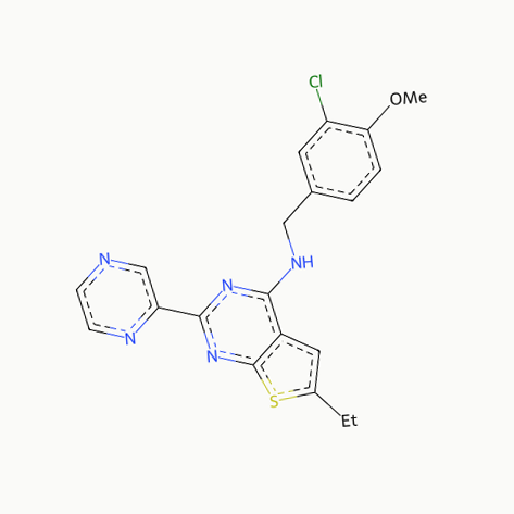 CCc1cc2c(NCc3ccc(OC)c(Cl)c3)nc(-c3cnccn3)nc2s1